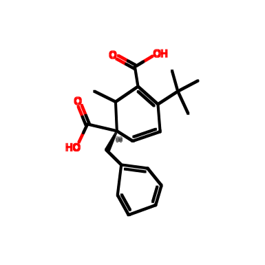 CC1C(C(=O)O)=C(C(C)(C)C)C=C[C@]1(Cc1ccccc1)C(=O)O